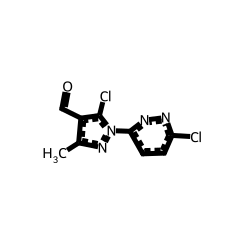 Cc1nn(-c2ccc(Cl)nn2)c(Cl)c1C=O